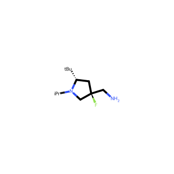 CC(C)N1C[C@@](F)(CN)C[C@H]1C(C)(C)C